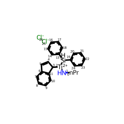 CCC[NH][Ti+2]([CH]1C=Cc2ccccc21)[SiH](c1ccccc1)c1ccccc1.[Cl-].[Cl-]